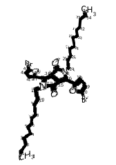 CCCCCCCCCCCCN1C(=O)C2=C(c3ccc(Br)o3)N(CCCCCCCCCCCC)C(=O)C2=C1c1ccc(Br)o1